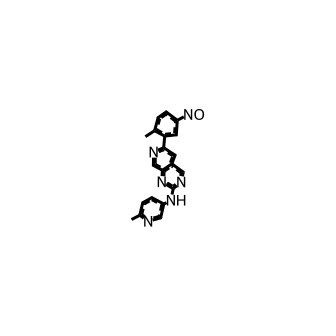 Cc1ccc(Nc2ncc3cc(-c4cc(N=O)ccc4C)ncc3n2)cn1